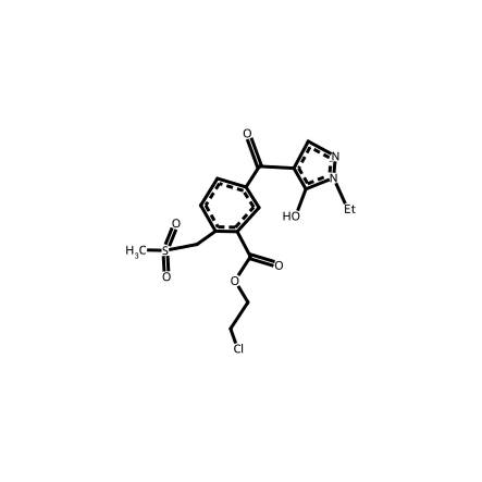 CCn1ncc(C(=O)c2ccc(CS(C)(=O)=O)c(C(=O)OCCCl)c2)c1O